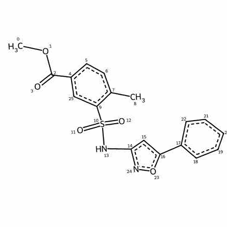 COC(=O)c1ccc(C)c(S(=O)(=O)Nc2cc(-c3ccccc3)on2)c1